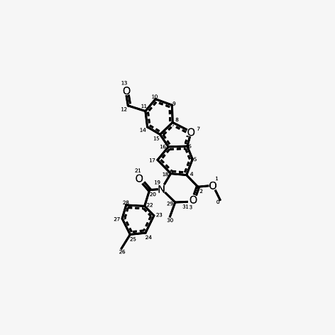 COC(=O)c1cc2oc3ccc(C=O)cc3c2cc1N(C(=O)c1ccc(C)cc1)C(C)C